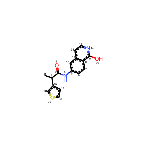 CC(C(=O)Nc1ccc2c(O)nccc2c1)c1ccsc1